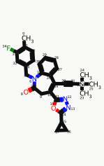 Cc1ccc(CN2C(=O)CC(c3nnc(C4CC4)o3)=C(C#C[Si](C)(C)C)c3ccccc32)cc1F